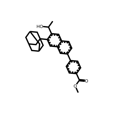 COC(=O)c1ccc(-c2ccc3cc(C(C)O)c(C45CC6CC(CC(C6)C4)C5)cc3c2)cc1